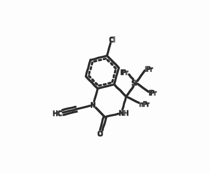 C#CN1C(=O)NC(CCC)([Si](C(C)C)(C(C)C)C(C)C)c2cc(Cl)ccc21